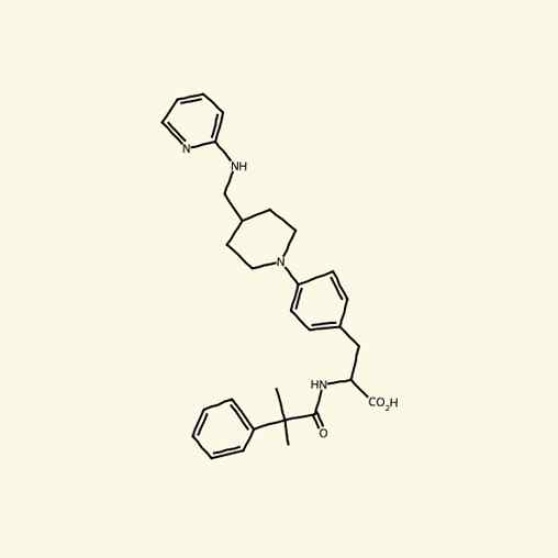 CC(C)(C(=O)NC(Cc1ccc(N2CCC(CNc3ccccn3)CC2)cc1)C(=O)O)c1ccccc1